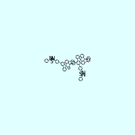 c1ccc(-c2nnc(-c3ccc(-c4ccc5c(c4)-c4ccccc4C54c5ccccc5C5(c6ccccc6)c6cc(-c7cc(-c8ccc(-c9nnc(-c%10ccccc%10)s9)cc8)cc8c7-c7ccccc7C87c8ccccc8C8(c9ccccc9)c9ccccc9-c9cccc7c98)ccc6-c6cccc4c65)cc3)s2)cc1